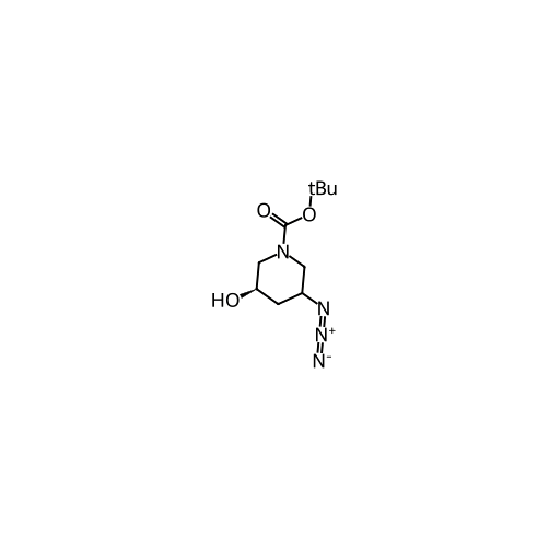 CC(C)(C)OC(=O)N1CC(N=[N+]=[N-])C[C@@H](O)C1